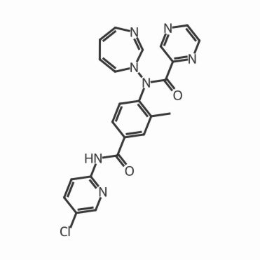 Cc1cc(C(=O)Nc2ccc(Cl)cn2)ccc1N(C(=O)c1cnccn1)N1C=CC=CN=C1